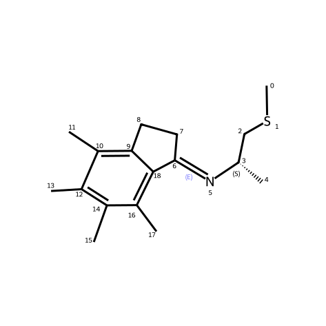 CSC[C@H](C)/N=C1\CCc2c(C)c(C)c(C)c(C)c21